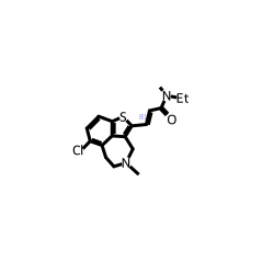 CCN(C)C(=O)/C=C/c1sc2ccc(Cl)c3c2c1CN(C)CC3